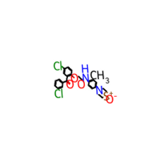 Cc1cc(N2CC[S+]([O-])CC2)ccc1NC(=O)COc1ccc(Cl)cc1C(=O)c1cccc(Cl)c1